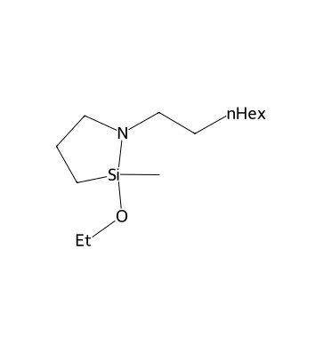 CCCCCCCCN1CCC[Si]1(C)OCC